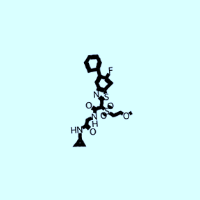 COCCS(=O)(=O)C(C(=O)NCC(=O)NC1CC1)c1nc2cc(-c3ccccc3)c(F)cc2s1